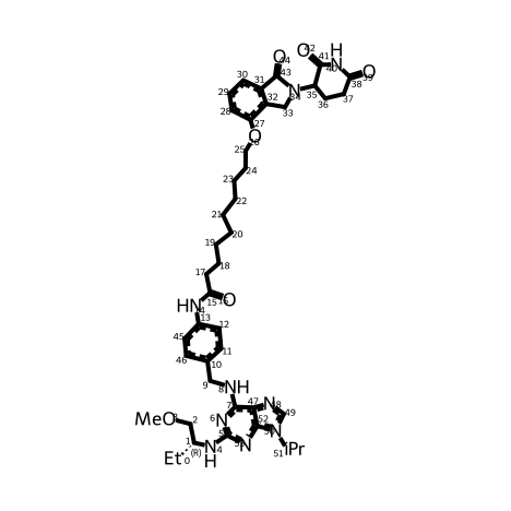 CC[C@H](COC)Nc1nc(NCc2ccc(NC(=O)CCCCCCCCCOc3cccc4c3CN(C3CCC(=O)NC3=O)C4=O)cc2)c2ncn(C(C)C)c2n1